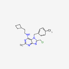 N#Cc1nc(NCCC2CCC2)c2c(n1)nc(CCl)n2Cc1ccc(C(F)(F)F)cc1